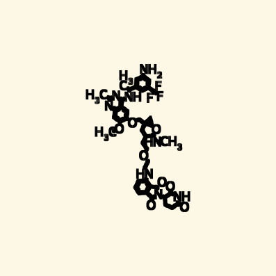 CNC(=O)C(CCOCCNc1cccc2c1C(=O)N(C1CCC(=O)NC1=O)C2=O)CC1(COc2cc3c(NC(C)c4cc(N)cc(C(F)(F)F)c4)nc(C)nc3cc2OC)CC1